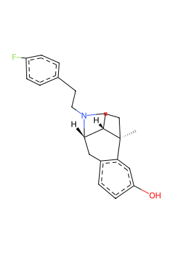 C[C@H]1[C@@H]2Cc3ccc(O)cc3[C@]1(C)CCN2CCc1ccc(F)cc1